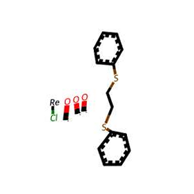 [C]=O.[C]=O.[C]=O.[Cl][Re].c1ccc(SCCSc2ccccc2)cc1